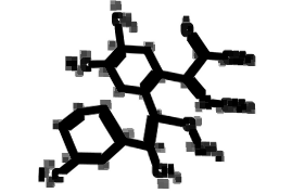 CON=C(C(=O)OC)C1=C(C(ON)=C(C)c2cccc(C(F)(F)F)c2)CC(C)=C(C)C1